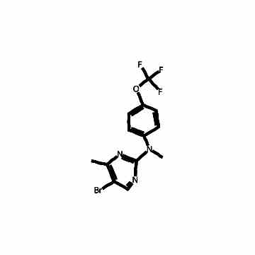 Cc1nc(N(C)c2ccc(OC(F)(F)F)cc2)ncc1Br